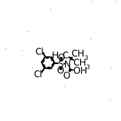 CC(C)(C)N(C(=O)O)S(=O)(=O)c1cc(Cl)cc(Cl)c1